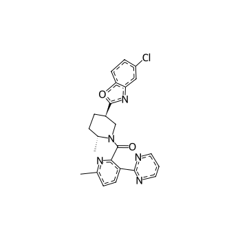 Cc1ccc(-c2ncccn2)c(C(=O)N2C[C@H](c3nc4cc(Cl)ccc4o3)CC[C@H]2C)n1